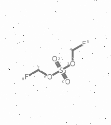 O=S(=O)(OCF)OCF